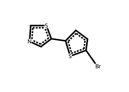 Brc1ccc(-c2cn[c]s2)s1